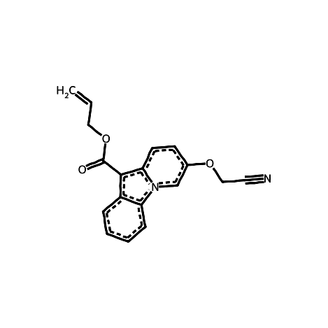 C=CCOC(=O)c1c2ccccc2n2cc(OCC#N)ccc12